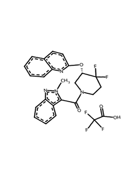 Cn1nc2ccccc2c1C(=O)N1CCC(F)(F)[C@@H](Oc2ccc3ccccc3n2)C1.O=C(O)C(F)(F)F